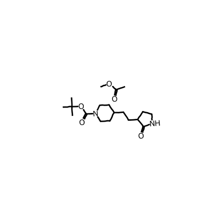 CC(C)(C)OC(=O)N1CCC(CCC2CCNC2=O)CC1.COC(C)=O